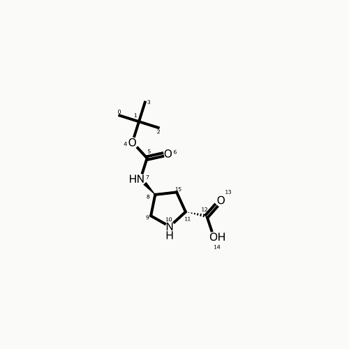 CC(C)(C)OC(=O)N[C@@H]1CN[C@@H](C(=O)O)C1